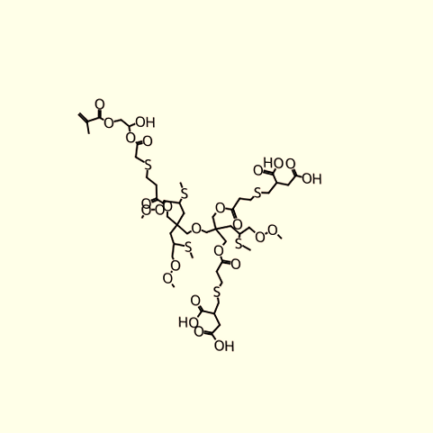 C=C(C)C(=O)OCC(O)OC(=O)CSCCC(=O)OCC(COCC(COC(=O)CCSCC(CC(=O)O)C(=O)O)(COC(=O)CCSCC(CC(=O)O)C(=O)O)CC(COOC)SC)(CC(COOC)SC)CC(COOC)SC